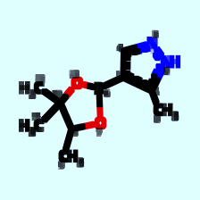 Cc1[nH]ncc1B1OC(C)C(C)(C)O1